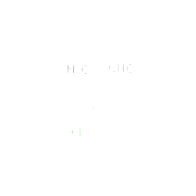 CC(C=O)CCCCl